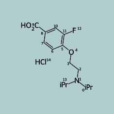 CC(C)N(CCOc1ccc(C(=O)O)cc1F)C(C)C.Cl